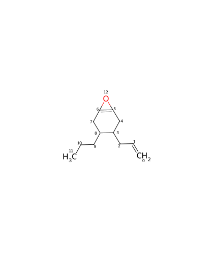 C=CCC1CC2=C(CC1CCC)O2